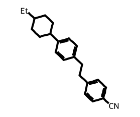 CCC1CCC(c2ccc(CCc3ccc(C#N)cc3)cc2)CC1